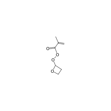 C=C(C)C(=O)OOC1CCO1